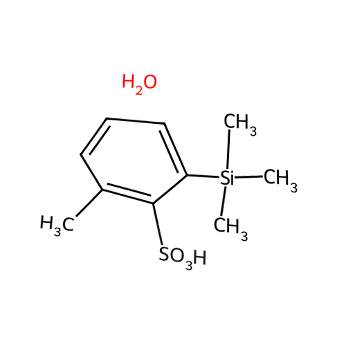 Cc1cccc([Si](C)(C)C)c1S(=O)(=O)O.O